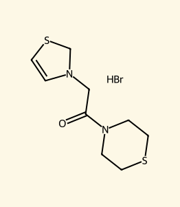 Br.O=C(CN1C=CSC1)N1CCSCC1